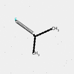 CC#CC#CC#CC#CC#CC#C/C(C#CC#CC#CC#CC#CC)=C\C=C=C=C=C=C=C=C=C=C=C=C=C=C=C=CF